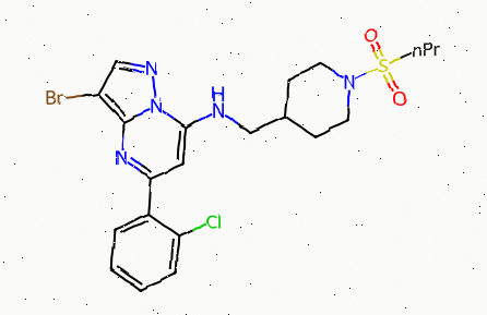 CCCS(=O)(=O)N1CCC(CNc2cc(-c3ccccc3Cl)nc3c(Br)cnn23)CC1